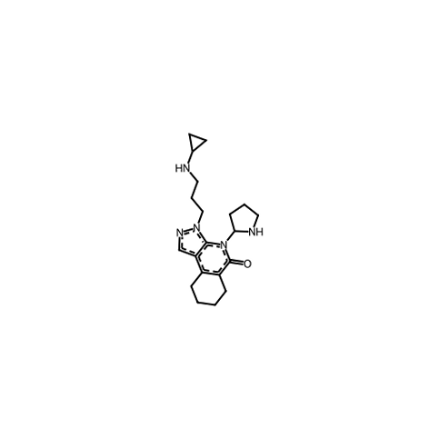 O=c1c2c(c3cnn(CCCNC4CC4)c3n1C1CCCN1)CCCC2